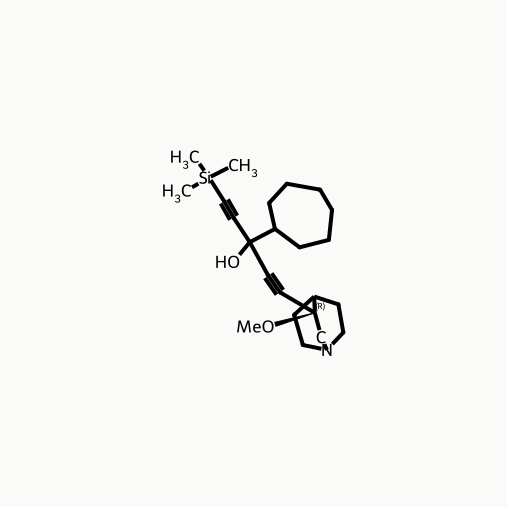 CO[C@]1(C#CC(O)(C#C[Si](C)(C)C)C2CCCCCC2)CN2CCC1CC2